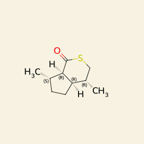 C[C@H]1CSC(=O)[C@H]2[C@@H]1CC[C@@H]2C